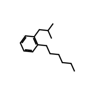 CCCCCCc1ccc[c]c1CC(C)C